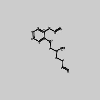 C=CC[CH]C(O)COc1ccccc1CC=C